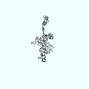 CC[C@H](C)[C@@H]([C@@H](CC(=O)N1CCC[C@H]1[C@H](OC)[C@@H](C)C(=O)N[C@@H](Cc1ccccc1)C(=O)O)OC)N(C)C(=O)[C@@H](NC(=O)[C@@H]1C2CC[C@@H](C2)N1C(=O)CCOCCOCCn1cc(CN2C(=O)C=CC2=O)nn1)C(C)C